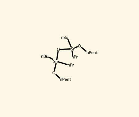 CCCCC[O][Sn]([CH2]CC)([CH2]CCC)[O][Sn]([CH2]CC)([CH2]CCC)[O]CCCCC